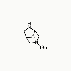 CC(C)(C)N1CC2CNC(C1)O2